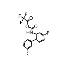 O=C(Nc1cc(F)ccc1-c1cccc(Cl)c1)OC(=O)C(F)(F)F